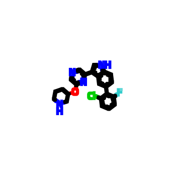 Fc1cccc(Cl)c1-c1ccc2[nH]cc(-c3cncc(O[C@@H]4CCCNC4)n3)c2c1